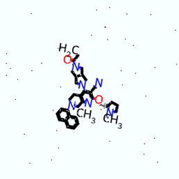 C=CC(=O)N1CC2CN(c3c(C#N)c(OC[C@@H]4CCCN4C)nc4c3CCN(c3cccc5cccc(C)c35)C4)CC2C1